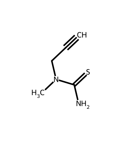 C#CCN(C)C(N)=S